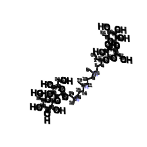 C=C[C@](C)(CC/C=C(\C)CC/C=C(\C)CC/C=C(/C)CO[C@@H]1O[C@H](CO)[C@@H](O)[C@H](O)[C@H]1O[C@@H]1O[C@H](CO)[C@@H](O)[C@H](O)[C@H]1O)O[C@@H]1O[C@H](CO)[C@@H](O[C@@H]2O[C@@H](C)[C@H](O)[C@@H](O)[C@H]2O)[C@H](O)[C@H]1O